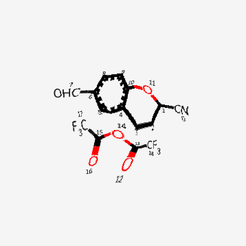 N#CC1CCc2cc(C=O)ccc2O1.O=C(OC(=O)C(F)(F)F)C(F)(F)F